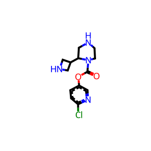 O=C(Oc1ccc(Cl)nc1)N1CCNCC1C1CNC1